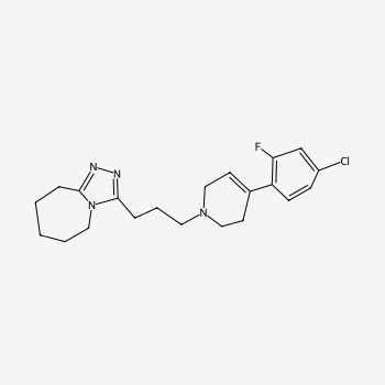 Fc1cc(Cl)ccc1C1=CCN(CCCc2nnc3n2CCCCC3)CC1